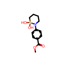 COC(=O)c1ccc(N2CCCCS2(O)O)cc1